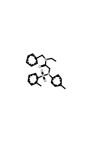 CCN(Cc1ccccc1)C(=O)CN(c1ccc(C)cc1)S(=O)(=O)c1ccccc1C